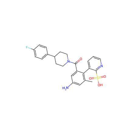 Cc1cc(N)cc(C(=O)N2CCC(c3ccc(F)cc3)CC2)c1-c1cccnc1S(=O)(=O)O